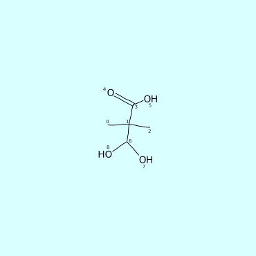 CC(C)(C(=O)O)C(O)O